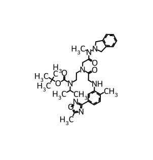 Cc1nc(-c2ccc(C)c(NCC(=O)N(CCN(C(=O)OC(C)(C)C)C(C)C)CC(=O)N(C)N3Cc4ccccc4C3)c2)no1